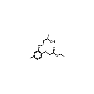 CCOC(=O)CSc1ccc(C)cc1OCCC(C)O